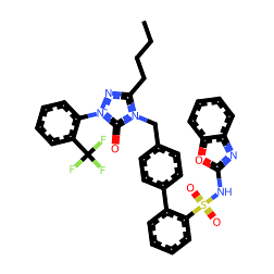 CCCCc1nn(-c2ccccc2C(F)(F)F)c(=O)n1Cc1ccc(-c2ccccc2S(=O)(=O)Nc2nc3ccccc3o2)cc1